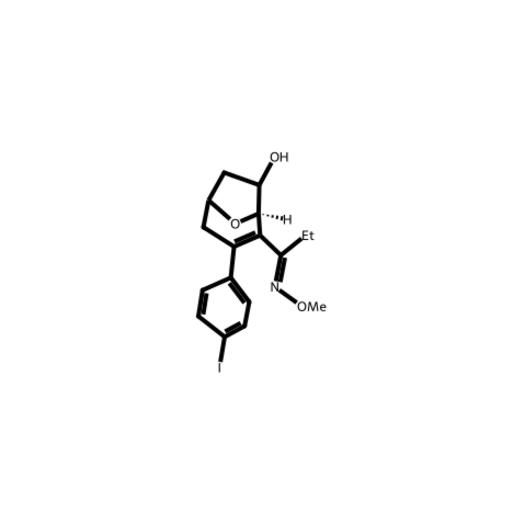 CCC(=NOC)C1=C(c2ccc(I)cc2)CC2CC(O)[C@@H]1O2